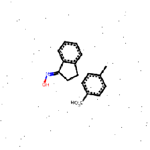 Cc1ccc(S(=O)(=O)O)cc1.ON=C1CCc2ccccc21